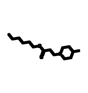 CCCCCCOC(=O)CCN1CCC(C)CC1